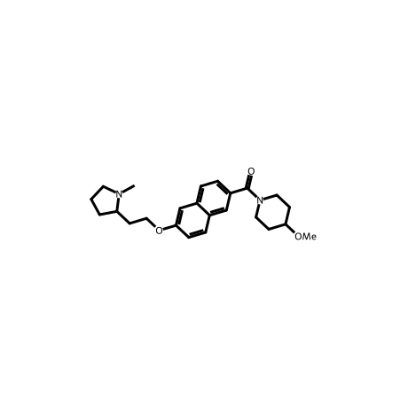 COC1CCN(C(=O)c2ccc3cc(OCCC4CCCN4C)ccc3c2)CC1